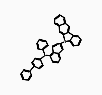 c1ccc(-c2ccc(N(c3ccccc3)c3cccc4cc(-n5c6ccccc6c6cc7ccccc7cc65)ccc34)cc2)cc1